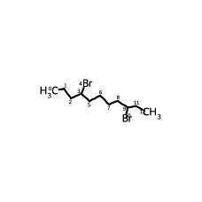 CCCC(Br)CCCCC(Br)CC